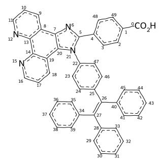 O=C(O)c1ccc(-c2nc3c4cccnc4c4ncccc4c3n2-c2ccc(C(=C(c3ccccc3)c3ccccc3)c3ccccc3)cc2)cc1